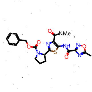 CNC(=O)c1nc(C2CCCN2C(=O)OCc2ccccc2)sc1NC(=O)c1noc(C)n1